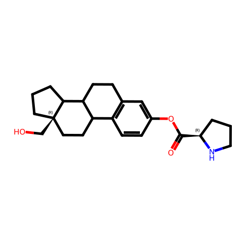 O=C(Oc1ccc2c(c1)CCC1C2CC[C@]2(CO)CCCC12)[C@H]1CCCN1